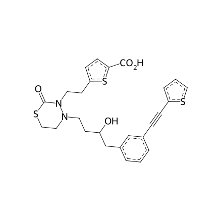 O=C(O)c1ccc(CCN2C(=O)SCCN2CCC(O)Cc2cccc(C#Cc3cccs3)c2)s1